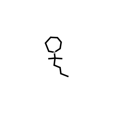 CCCCC(C)(C)N1CCCCCC1